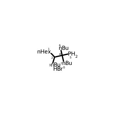 Br.CCCCCCC(CCCC)C(P)(CCCC)CCCC